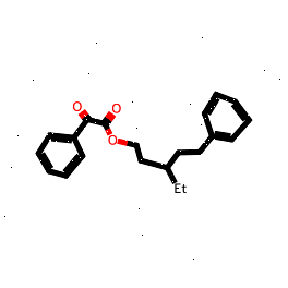 CCC(CCOC(=O)C(=O)c1ccccc1)CCc1ccccc1